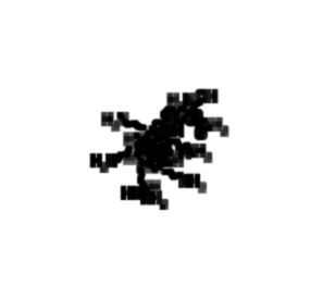 CC(C)[C@H](NC(=O)[C@H](CCCCN)NC(=O)[C@H](CCCNC(=N)N)NC(=O)[C@H](CCCCN)NC(=O)[C@H](CCCCN)NC(=O)[C@H](CCCCN)NC(=O)[C@@H]1CCCN1C(=O)[C@H](CCC(N)=O)NC(=O)[C@@H](N)CO)C(=O)O